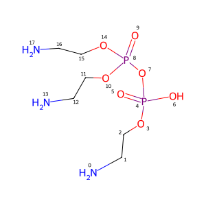 NCCOP(=O)(O)OP(=O)(OCCN)OCCN